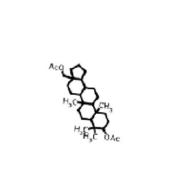 CC(=O)OCC12CCCC1C1CCC3C(C)(CCC4C(C)(C)C(OC(C)=O)CCC43C)C1CC2